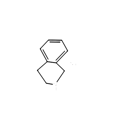 [NaH].c1ccc2c(c1)CCNC2